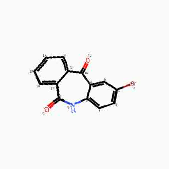 O=c1[nH]c2ccc(Br)cc2c(=O)c2ccccc12